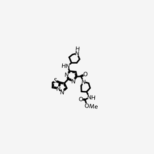 COC(=O)NC1CCN(C(=O)c2cc(NC3CCNCC3)nc(-c3cnn4ccsc34)n2)CC1